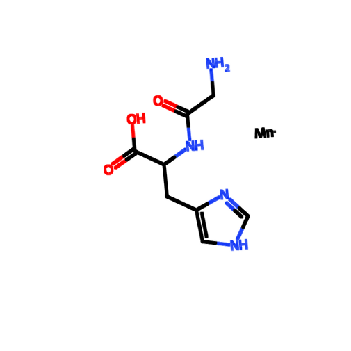 NCC(=O)NC(Cc1c[nH]cn1)C(=O)O.[Mn]